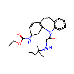 CCOC(=O)NC1C=CC2=C(C1)N(C(=O)CNC(C)(C)CC)c1ccccc1CC2